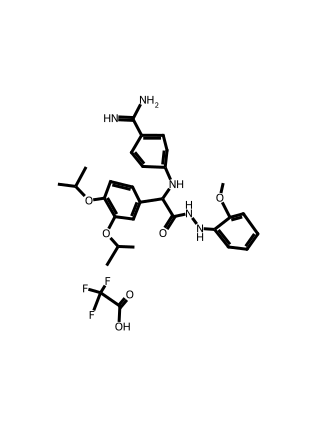 COc1ccccc1NNC(=O)C(Nc1ccc(C(=N)N)cc1)c1ccc(OC(C)C)c(OC(C)C)c1.O=C(O)C(F)(F)F